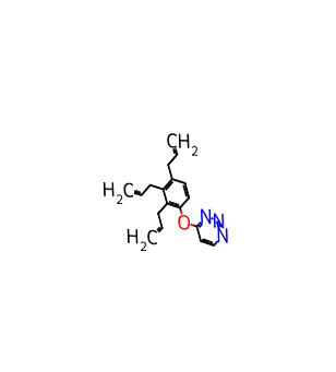 C=CCc1ccc(Oc2ccnnn2)c(CC=C)c1CC=C